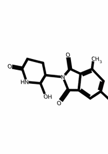 Cc1cc(F)cc2c1C(=O)N(C1CCC(=O)NC1O)C2=O